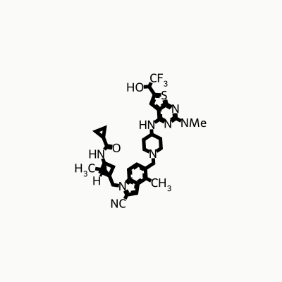 CNc1nc(NC2CCN(Cc3ccc4c(cc(C#N)n4CC45CC(NC(=O)C6CC6)(C4)[C@H]5C)c3C)CC2)c2cc(C(O)C(F)(F)F)sc2n1